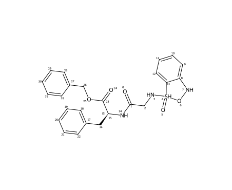 O=C(CN[SH]1(=O)ONc2ccccc21)N[C@@H](Cc1ccccc1)C(=O)OCc1ccccc1